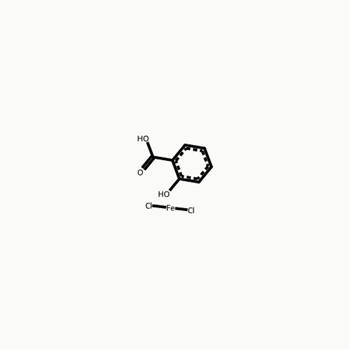 O=C(O)c1ccccc1O.[Cl][Fe][Cl]